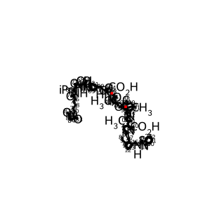 Cc1c(-c2ccc(N3CCc4cccc(CNc5nc6ccccc6s5)c4C3)nc2C(=O)O)cnn1CC12CC3(C)CC(C)(C1)CC(OCCN(C)C(=O)[C@@H](CC(=O)O)NC(=O)OCc1ccc(NC(=O)[C@H](C)NC(=O)[C@@H](NC(=O)CCCCCN4C(=O)C=CC4=O)C(C)C)cc1)(C3)C2